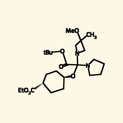 CCOC(=O)[C@H]1CC[C@H](OC(C(=O)OC(C)(C)C)(N2CCCC2)N2CC(C)(OC)C2)CC1